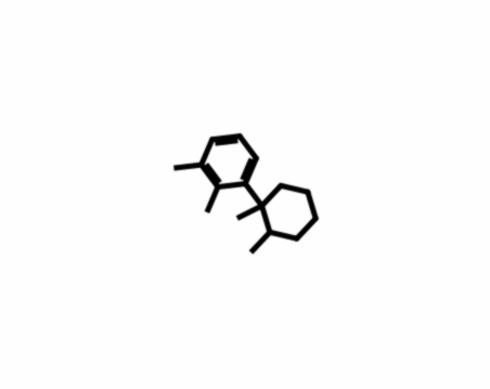 Cc1cccc(C2(C)CCCCC2C)c1C